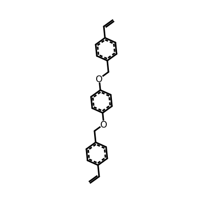 C=Cc1ccc(COc2ccc(OCc3ccc(C=C)cc3)cc2)cc1